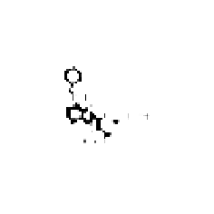 CCOC(=O)COc1c(C(=O)OC)sc2c1sc1c(NCC3CCCCC3)cccc12